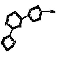 CC(C)(C)c1ccc(-c2ccnc(-c3ccccn3)n2)cc1